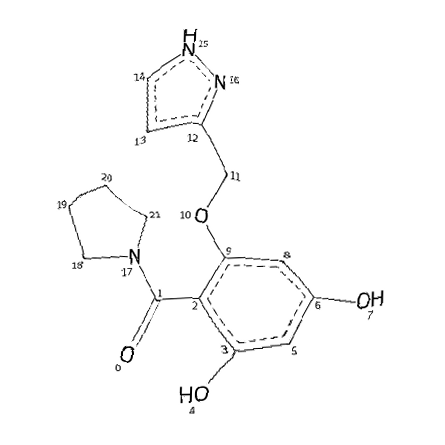 O=C(c1c(O)cc(O)cc1OCc1cc[nH]n1)N1CCCC1